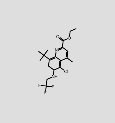 CCOC(=O)c1cc(C)c2c(n1)=C(C(C)(C)C)CC(NCC(F)(F)F)C=2Cl